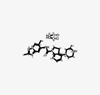 Cc1nc2cc(NC(=O)N3CCc4c(N5CCN[C@H](C)C5)ccnc43)c(C)cn2n1.O=CO.O=CO